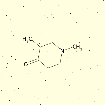 CC1CN(C)CCC1=O